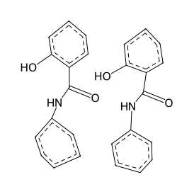 O=C(Nc1ccccc1)c1ccccc1O.O=C(Nc1ccccc1)c1ccccc1O